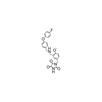 COc1ccc(CN2C(=O)NC(=O)C2=O)cc1CNCc1ccc(Oc2ccc(F)cc2)cc1